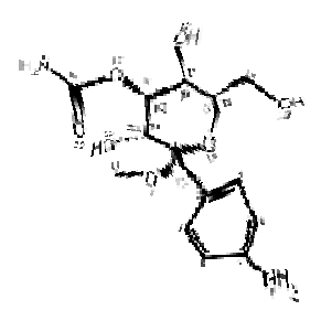 CO[C@]1(c2ccc(N)cc2)O[C@H](CO)[C@H](O)[C@H](OC(N)=O)[C@H]1O